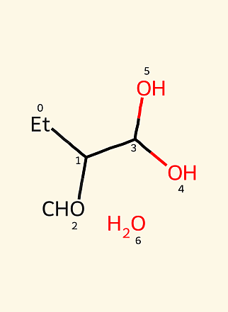 CCC(C=O)C(O)O.O